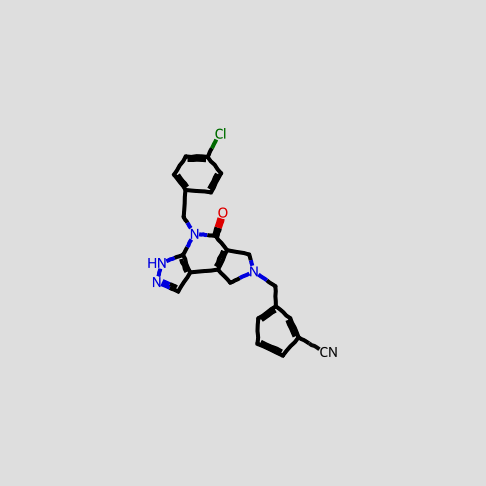 N#Cc1cccc(CN2Cc3c(c4cn[nH]c4n(Cc4ccc(Cl)cc4)c3=O)C2)c1